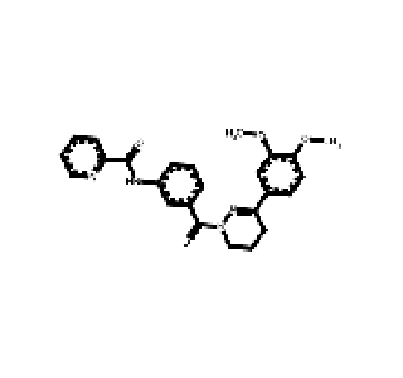 COc1ccc(C2=NN(C(=O)c3cccc(NC(=O)c4ccccn4)c3)CCC2)cc1OC